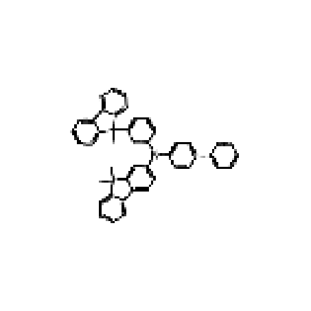 CC1(C)c2ccccc2-c2ccc(N(c3ccc(-c4ccccc4)cc3)c3cccc(C4(C)c5ccccc5-c5ccccc54)c3)cc21